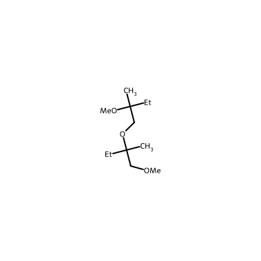 CCC(C)(COC(C)(CC)COC)OC